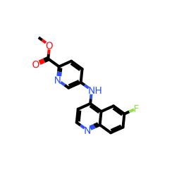 COC(=O)c1ccc(Nc2ccnc3ccc(F)cc23)cn1